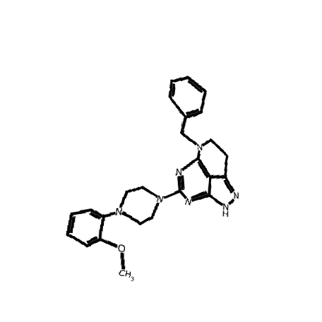 COc1ccccc1N1CCN(c2nc3c4c(n[nH]c4n2)CCN3Cc2ccccc2)CC1